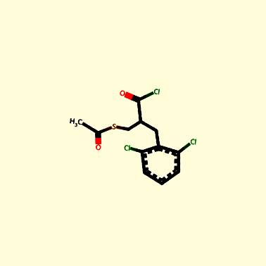 CC(=O)SCC(Cc1c(Cl)cccc1Cl)C(=O)Cl